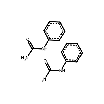 NC(=O)Nc1ccccc1.NC(=O)Nc1ccccc1